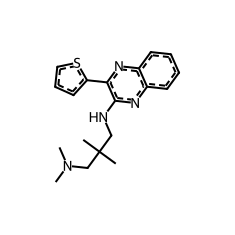 CN(C)CC(C)(C)CNc1nc2ccccc2nc1-c1cccs1